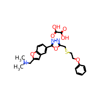 CN(C)Cc1cc2cc(-c3nnc(CSCCOc4ccccc4)o3)ccc2o1.O=C(O)C(=O)O